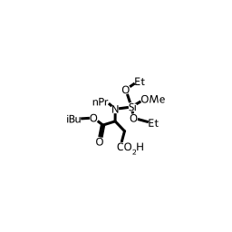 CCCN(C(CC(=O)O)C(=O)OC(C)CC)[Si](OC)(OCC)OCC